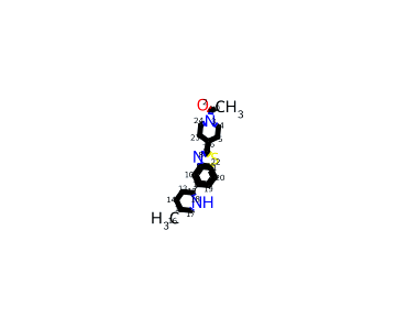 CC(=O)N1CCC(c2nc3cc([C@H]4CC[C@H](C)CN4)ccc3s2)CC1